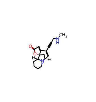 CNCC#CC1=C[C@@H]2C[C@@]3(OC(=O)C=C13)[C@H]1CCCCN21